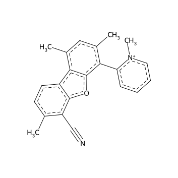 Cc1ccc2c(oc3c(-c4cccc[n+]4C)c(C)cc(C)c32)c1C#N